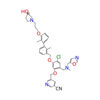 Cc1c(COc2cc(OCc3cncc(C#N)c3)c(CN(C)Cc3cnco3)cc2Cl)cccc1-c1cccc(OCCCN2CC[C@@H](O)C2)c1C